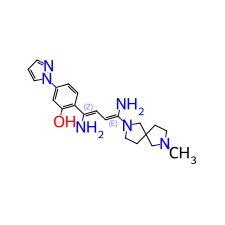 CN1CCC2(CCN(/C(N)=C/C=C(\N)c3ccc(-n4cccn4)cc3O)C2)C1